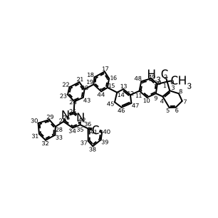 CC1(C)C2=C(C=CCC2)c2cc(C3=CC(c4cccc(-c5cccc(-c6nc(-c7ccccc7)cc(-c7ccccc7)n6)c5)c4)CC=C3)ccc21